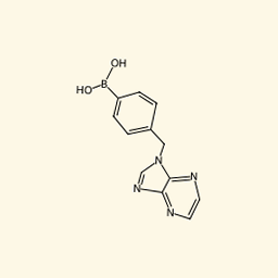 OB(O)c1ccc(Cn2cnc3nccnc32)cc1